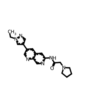 CCn1cc(-c2cnc3cnc(NC(=O)CN4CCCC4)cc3c2)cn1